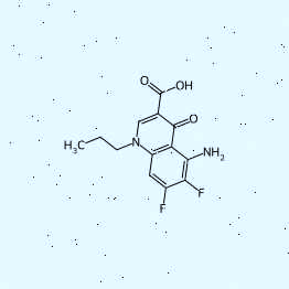 CCCn1cc(C(=O)O)c(=O)c2c(N)c(F)c(F)cc21